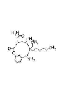 CCCCCCC1(CC)CC(C)C[C@@H](CC(N)=O)CC(=O)Oc2cccc(c2)[C@@H](N)C1